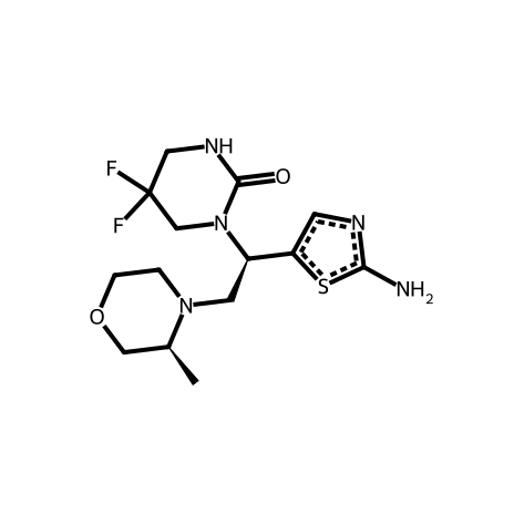 C[C@H]1COCCN1C[C@H](c1cnc(N)s1)N1CC(F)(F)CNC1=O